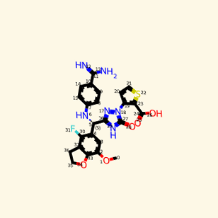 COc1cc([C@H](Nc2ccc(C(=N)N)cc2)c2nn(-c3ccsc3C(=O)O)c(=O)[nH]2)c(F)c2c1OCC2